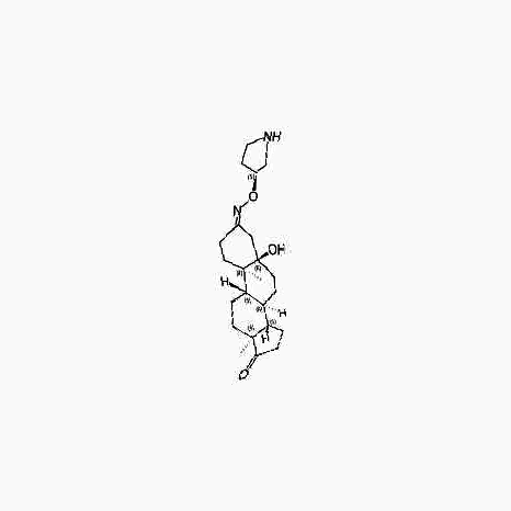 C[C@]12CC[C@H]3[C@@H](CC[C@@]4(O)CC(=NO[C@H]5CCNC5)CC[C@]34C)[C@@H]1CCC2=O